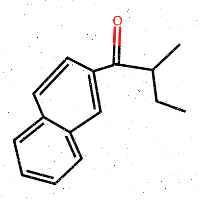 CCC(C)C(=O)c1ccc2ccccc2c1